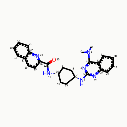 CN(C)c1nc(N[C@H]2CC[C@@H](NC(=O)c3ccc4ccccc4n3)CC2)nc2ccccc12